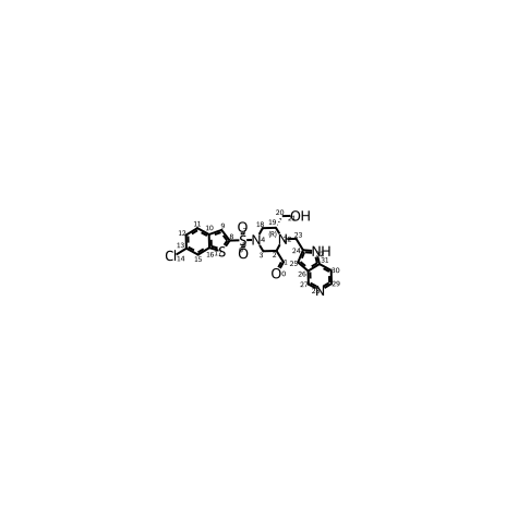 O=CC1CN(S(=O)(=O)c2cc3ccc(Cl)cc3s2)C[C@H](CO)N1Cc1cc2cnccc2[nH]1